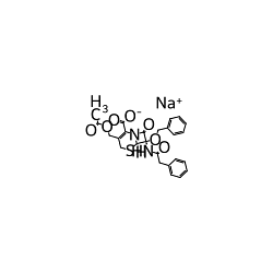 CC(=O)OCC1=C(C(=O)[O-])N2C(=O)[C@](NC(=O)Cc3ccccc3)(OCc3ccccc3)[C@H]2SC1.[Na+]